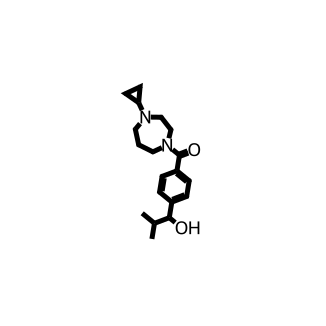 CC(C)C(O)c1ccc(C(=O)N2CCCN(C3CC3)CC2)cc1